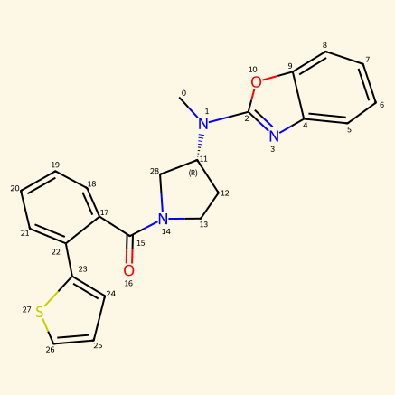 CN(c1nc2ccccc2o1)[C@@H]1CCN(C(=O)c2ccccc2-c2cccs2)C1